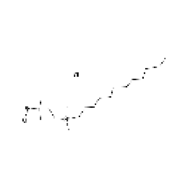 CCCCCCCCCCCC[N+](C)(C)CCC(C)(C)NCl.[Cl-]